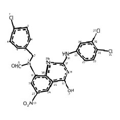 O=CN(Cc1ccc(Cl)cc1)c1cc([N+](=O)[O-])cc2c(O)nc(Nc3ccc(Cl)c(Cl)c3)nc12